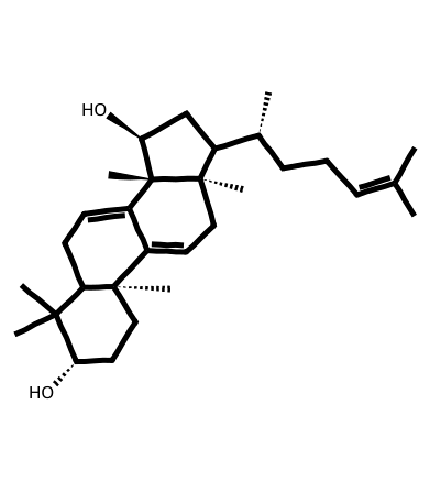 CC(C)=CCC[C@@H](C)C1C[C@H](O)[C@@]2(C)C3=CCC4C(C)(C)[C@@H](O)CC[C@]4(C)C3=CC[C@]12C